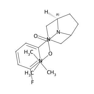 CC(C)(C)OC(=O)N1C2CC[C@@H]1CN(c1cccc(F)n1)C2